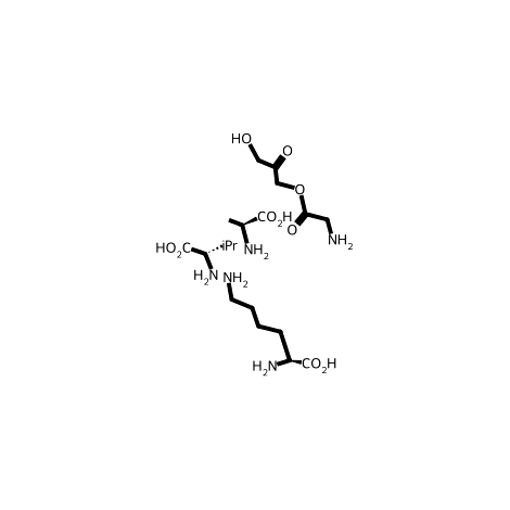 CC(C)[C@H](N)C(=O)O.C[C@H](N)C(=O)O.NCC(=O)OCC(=O)CO.NCCCC[C@H](N)C(=O)O